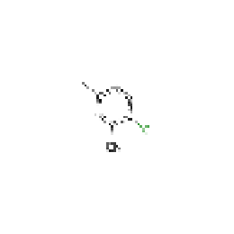 Cc1ccc(Cl)c(C#N)c1